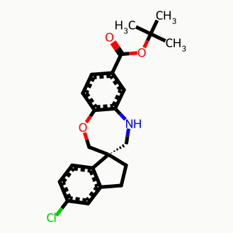 CC(C)(C)OC(=O)c1ccc2c(c1)NC[C@@]1(CCc3cc(Cl)ccc31)CO2